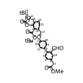 COC(=O)Cc1ccc(-c2ccc(OCc3ccc(C(F)(F)F)c(OC(=O)OC(C)(C)C)c3C(=O)OC(C)(C)C)cc2)c(C=O)c1